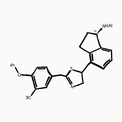 CC(=O)N[C@@H]1CCc2c(C3CN=C(c4ccc(OC(C)C)c(C#N)c4)S3)cccc21